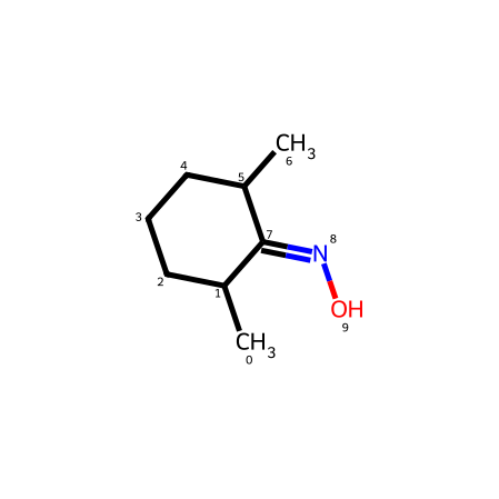 CC1CCCC(C)C1=NO